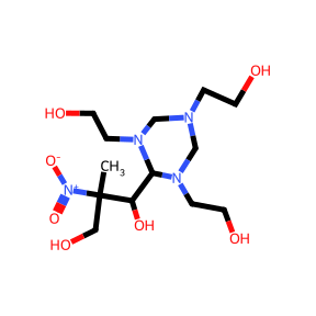 CC(CO)(C(O)C1N(CCO)CN(CCO)CN1CCO)[N+](=O)[O-]